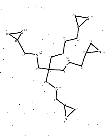 C(CC(CSCC1CS1)(CSCC1CS1)CSCC1CS1)SCC1CS1